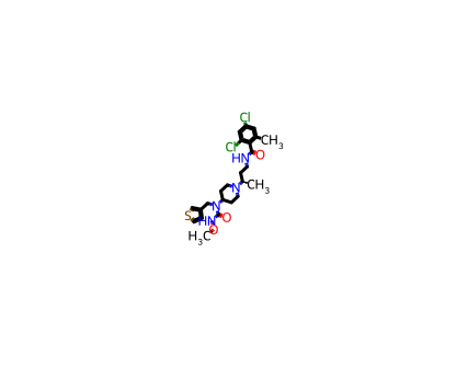 CONC(=O)N(Cc1ccsc1)C1CCN([C@H](C)CCNC(=O)c2c(C)cc(Cl)cc2Cl)CC1